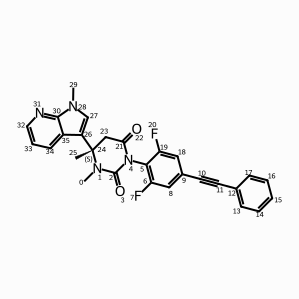 CN1C(=O)N(c2c(F)cc(C#Cc3ccccc3)cc2F)C(=O)C[C@@]1(C)c1cn(C)c2ncccc12